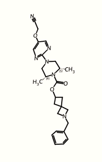 C[C@@H]1CN(c2ncc(OCC#N)cn2)C[C@H](C)N1C(=O)OC1CC2(C1)CN(Cc1ccccc1)C2